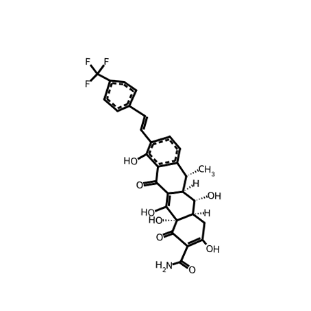 C[C@H]1c2ccc(/C=C/c3ccc(C(F)(F)F)cc3)c(O)c2C(=O)C2=C(O)[C@]3(O)C(=O)C(C(N)=O)=C(O)C[C@@H]3[C@@H](O)[C@@H]21